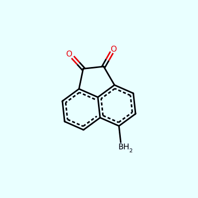 Bc1ccc2c3c(cccc13)C(=O)C2=O